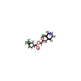 O=C(COC(=O)C1CCC(F)(F)C1)Cc1ccncc1F